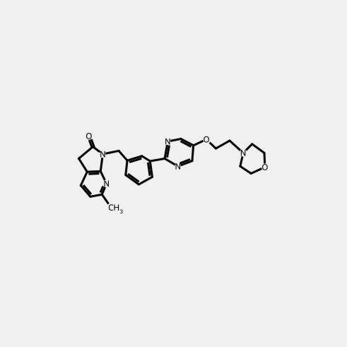 Cc1ccc2c(n1)N(Cc1cccc(-c3ncc(OCCN4CCOCC4)cn3)c1)C(=O)C2